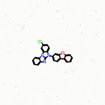 Clc1ccc2c(c1)n1c3ccccc3nc1n2-c1ccc2c(c1)oc1ccccc12